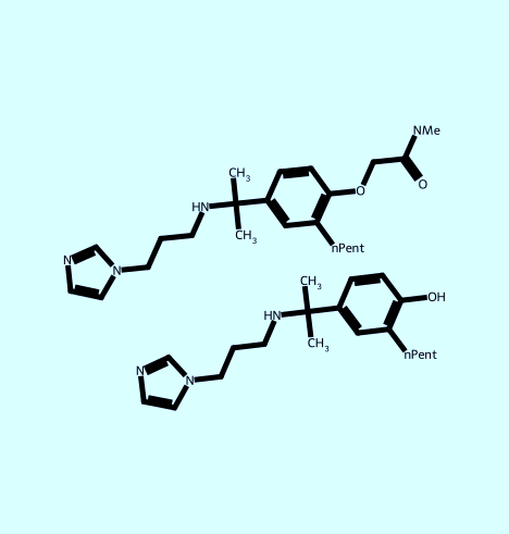 CCCCCc1cc(C(C)(C)NCCCn2ccnc2)ccc1O.CCCCCc1cc(C(C)(C)NCCCn2ccnc2)ccc1OCC(=O)NC